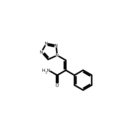 NC(=O)C(=Cn1cnnn1)c1ccccc1